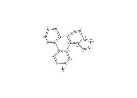 [Li+].c1ccc(-c2ccccc2-c2cccc3[cH-]ccc23)cc1